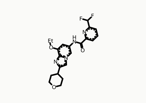 CCOc1cc(NC(=O)c2cccc(C(F)F)n2)cn2cc(C3CCOCC3)nc12